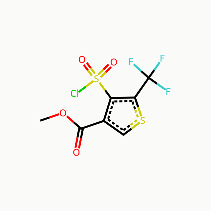 COC(=O)c1csc(C(F)(F)F)c1S(=O)(=O)Cl